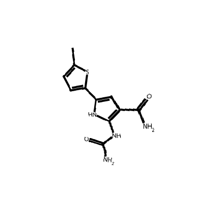 Cc1ccc(-c2cc(C(N)=O)c(NC(N)=O)[nH]2)s1